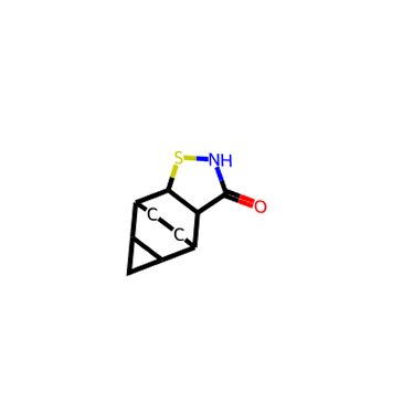 O=C1NSC2C3CCC(C4CC43)C12